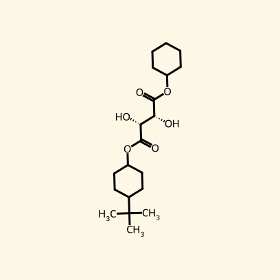 CC(C)(C)C1CCC(OC(=O)[C@H](O)[C@@H](O)C(=O)OC2CCCCC2)CC1